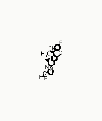 CC(C#N)=C1c2ccc(Cc3c(C4CC4)nc4c(OC(F)F)cccn34)cc2COc2cc(F)ccc21